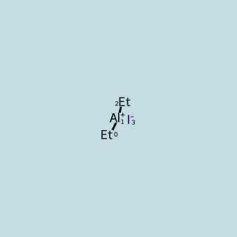 C[CH2][Al+][CH2]C.[I-]